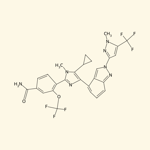 Cn1nc(-n2cc3c(-c4nc(-c5ccc(C(N)=O)cc5OC(F)(F)F)n(C)c4C4CC4)cccc3n2)cc1C(F)(F)F